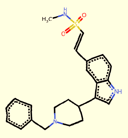 CNS(=O)(=O)/C=C/c1ccc2[nH]cc(C3CCN(Cc4ccccc4)CC3)c2c1